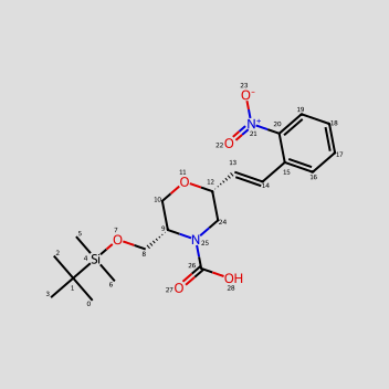 CC(C)(C)[Si](C)(C)OC[C@@H]1CO[C@H](C=Cc2ccccc2[N+](=O)[O-])CN1C(=O)O